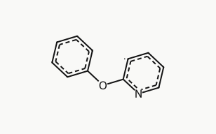 [c]1cccnc1Oc1ccccc1